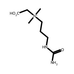 C[N+](C)(CCCNC(N)=O)CC(=O)O